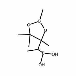 CB1OC(C)(C)C(C)(C(C)B(O)O)O1